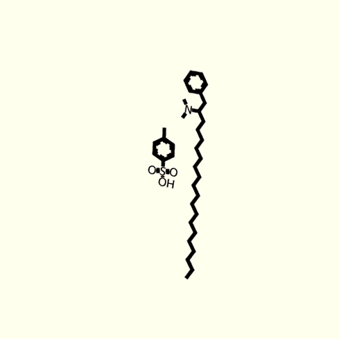 CCCCCCCCCCCCCCCCCCC(Cc1ccccc1)N(C)C.Cc1ccc(S(=O)(=O)O)cc1